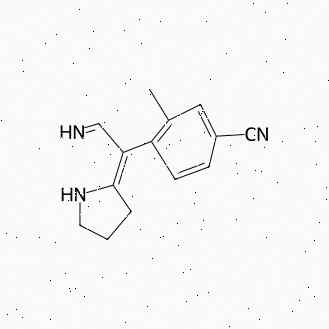 Cc1cc(C#N)ccc1/C(C=N)=C1\CCCN1